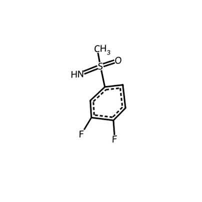 CS(=N)(=O)c1ccc(F)c(F)c1